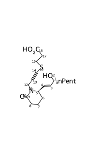 CCCCCC(O)/C=C/[C@H]1CCCC(=O)N1CC#CSCCC(=O)O